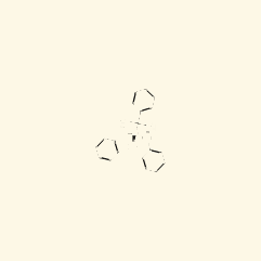 O=P(Oc1ccccc1)(Oc1ccccc1)C(Br)(Br)c1ccccc1